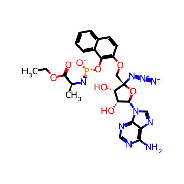 CCOC(=O)[C@H](C)/N=[P+](\[O-])Oc1c(OC[C@@]2(N=[N+]=[N-])O[C@@H](n3cnc4c(N)ncnc43)[C@H](O)[C@@H]2O)ccc2ccccc12